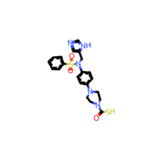 O=C(S)N1CCN(c2ccc(N(Cc3cnc[nH]3)S(=O)(=O)c3ccccc3)cc2)CC1